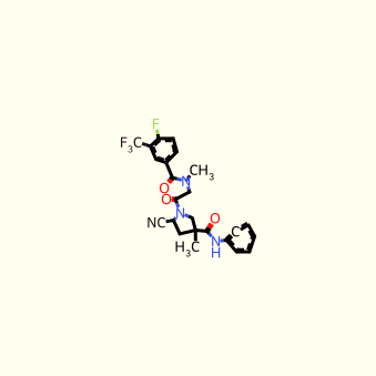 CN(CC(=O)N1CC(C)(C(=O)Nc2ccccc2)CC1C#N)C(=O)c1ccc(F)c(C(F)(F)F)c1